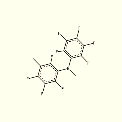 CB(c1c(F)c(C)c(F)c(F)c1F)c1c(F)c(F)c(F)c(F)c1F